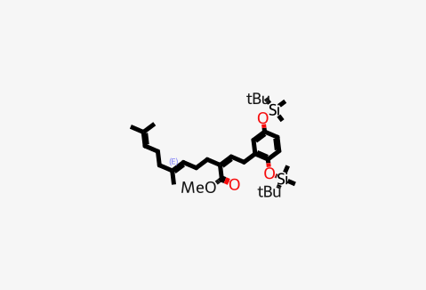 COC(=O)C(=CCc1cc(O[Si](C)(C)C(C)(C)C)ccc1O[Si](C)(C)C(C)(C)C)CC/C=C(\C)CCC=C(C)C